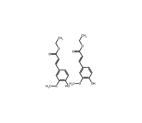 CCOC(=O)/C=C/c1ccc(O)c(OC)c1.CCOC(=O)C=Cc1ccc(O)c(OC)c1